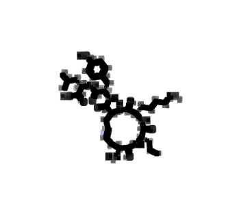 CCC[C@@H]1NC(=O)[C@@H](N)C/C=C/C[C@@H](C(=O)N[C@@H](Cc2ccc(O)cc2)C(=O)N[C@@H](CC(C)C)C(=O)O)NC(=O)[C@H](CCCCN)NC1=O